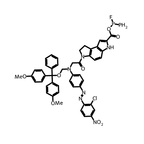 COc1ccc(C(OCN(CC(=O)N2CCc3c2ccc2[nH]c(C(=O)OP(F)P)cc32)c2ccc(N=Nc3ccc([N+](=O)[O-])cc3Cl)cc2)(c2ccccc2)c2ccc(OC)cc2)cc1